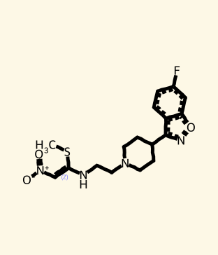 CS/C(=C\[N+](=O)[O-])NCCN1CCC(c2noc3cc(F)ccc23)CC1